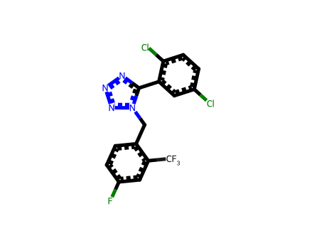 Fc1ccc(Cn2nnnc2-c2cc(Cl)ccc2Cl)c(C(F)(F)F)c1